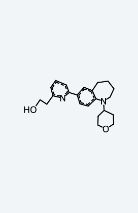 OCCc1cccc(-c2ccc3c(c2)CCCCN3C2CCOCC2)n1